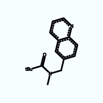 CN(Cc1ccc2ncccc2c1)C(=O)C(C)(C)C